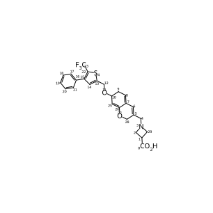 O=C(O)C1CN(CC2=CC3=CCC(OCc4cc(-c5ccccc5)c(C(F)(F)F)s4)C=C3OC2)C1